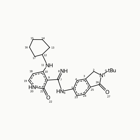 CC(C)(C)N1Cc2cc(NC(=N)c3c(NC4CCCCC4)cc[nH]c3=O)ccc2C1=O